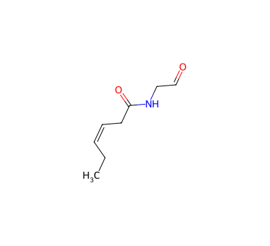 CC/C=C\CC(=O)NCC=O